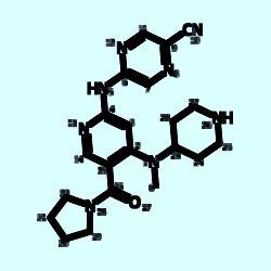 CN(c1cc(Nc2cnc(C#N)cn2)ncc1C(=O)N1CCCC1)C1CCNCC1